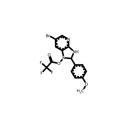 COc1ccc(C2Nc3ncc(Br)cc3N2OC(=O)C(F)(F)F)cc1